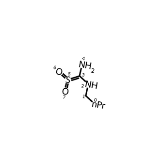 CCCCNC(N)=S(=O)=O